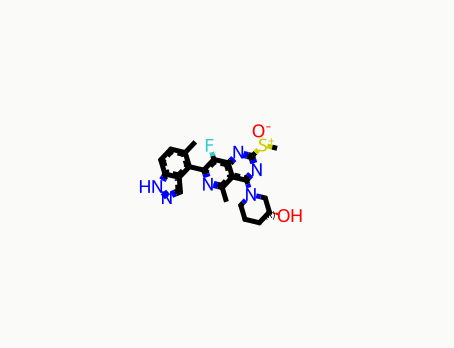 Cc1ccc2[nH]ncc2c1-c1nc(C)c2c(N3CCC[C@@H](O)C3)nc([S+](C)[O-])nc2c1F